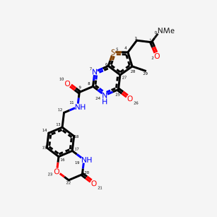 CNC(=O)Cc1sc2nc(C(=O)NCc3ccc4c(c3)NC(=O)CO4)[nH]c(=O)c2c1C